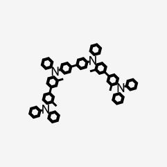 Cc1cc(-c2ccc(N(c3ccccc3)c3ccc(-c4ccc(N(c5ccccc5)c5ccc(-c6ccc(N(c7ccccc7)c7ccccc7)c(C)c6)cc5C)cc4)cc3)c(C)c2)ccc1N(c1ccccc1)c1ccccc1